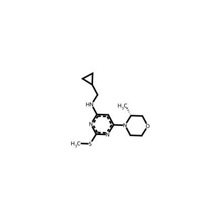 CSc1nc(NCC2CC2)cc(N2CCOC[C@H]2C)n1